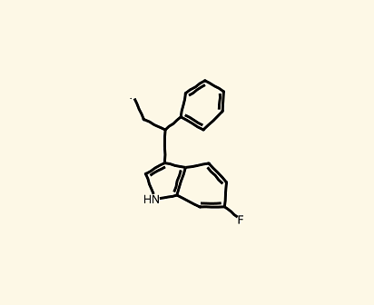 [CH2]CC(c1ccccc1)c1c[nH]c2cc(F)ccc12